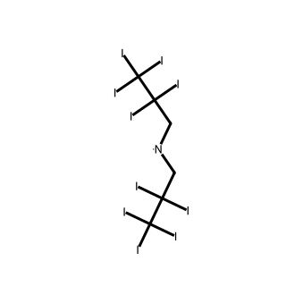 IC(I)(I)C(I)(I)C[N]CC(I)(I)C(I)(I)I